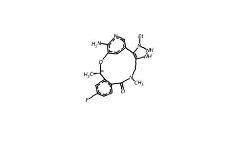 CCN1NNC2=C1c1cnc(N)c(c1)O[C@H](C)c1cc(F)ccc1C(=O)N(C)C2